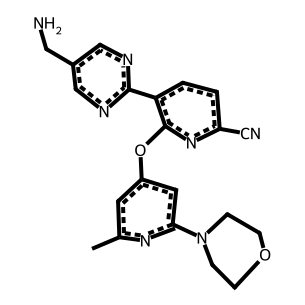 Cc1cc(Oc2nc(C#N)ccc2-c2ncc(CN)cn2)cc(N2CCOCC2)n1